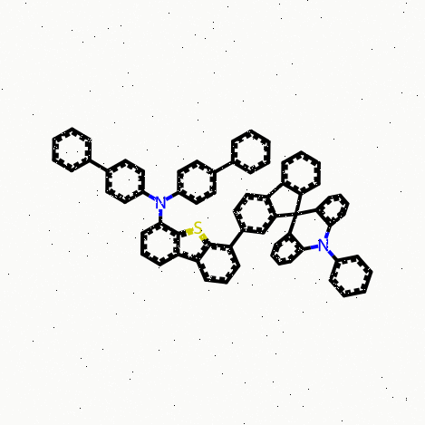 c1ccc(-c2ccc(N(c3ccc(-c4ccccc4)cc3)c3cccc4c3sc3c(-c5ccc6c(c5)C5(c7ccccc7-6)c6ccccc6N(c6ccccc6)c6ccccc65)cccc34)cc2)cc1